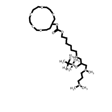 CN(C)CCCN(C)CC(CNCCCCCCOC(=O)OC1CCCCCCCCCCCCCCC1)O[Si](C)(C)C(C)(C)C